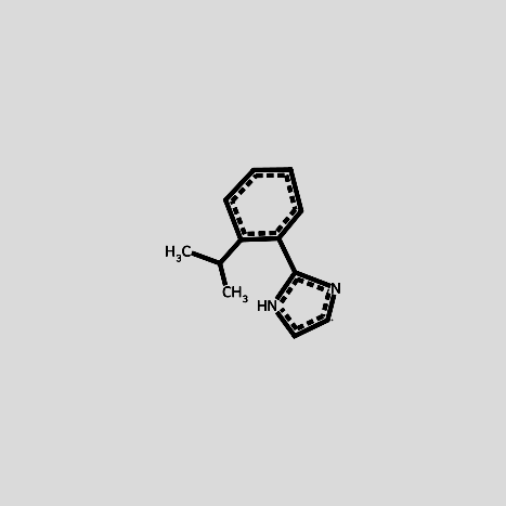 CC(C)c1ccccc1-c1n[c]c[nH]1